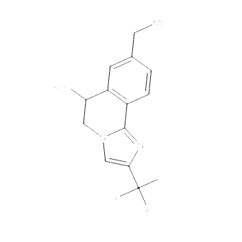 CC1Cn2cc(C(F)(F)F)nc2-c2ccc(CN)cc21